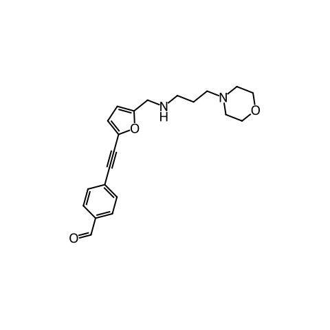 O=Cc1ccc(C#Cc2ccc(CNCCCN3CCOCC3)o2)cc1